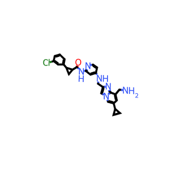 NCc1cc(C2CC2)cn2cc(CNc3ccnc(NC(=O)C4CC4c4cccc(Cl)c4)c3)nc12